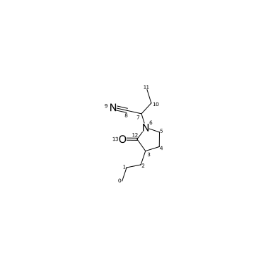 CCCC1CCN(C(C#N)CC)C1=O